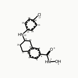 O=C(NO)c1ccc2c(c1)CC(Nc1ccc(Cl)cc1)CC2